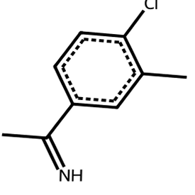 CC(=N)c1ccc(Cl)c(C)c1